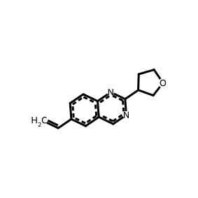 C=Cc1ccc2nc(C3CCOC3)ncc2c1